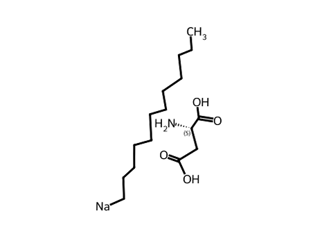 CCCCCCCCCCC[CH2][Na].N[C@@H](CC(=O)O)C(=O)O